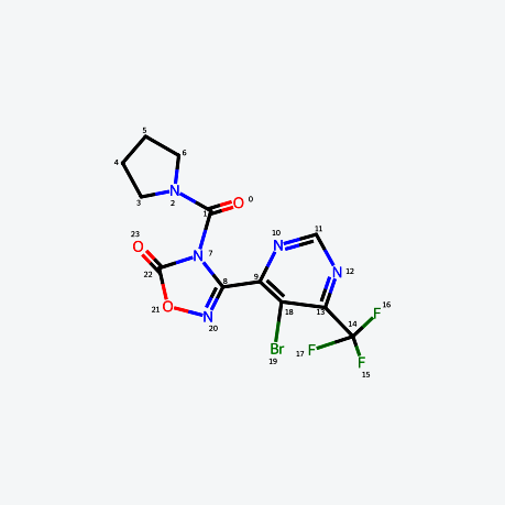 O=C(N1CCCC1)n1c(-c2ncnc(C(F)(F)F)c2Br)noc1=O